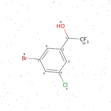 OC(c1cc(Cl)cc(Br)c1)C(F)(F)F